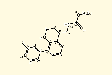 Cc1cc(-c2cccc3c2OCC[C@@H]3CNC(=O)OC(C)(C)C)ccn1